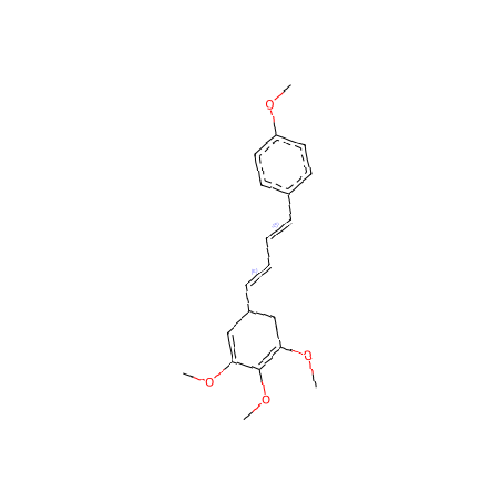 COC1=CC(/C=C/C=C/c2ccc(OC)cc2)CC(OC)=C1OC